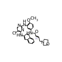 COc1ccc(NC(=O)/C=C/CN2CCOCC2)cc1Nc1ncc(Cl)c(Nc2ccc3ccccc3c2)n1